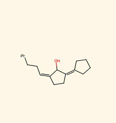 CC(C)CCC=C1CCC(=C2CCCC2)C1O